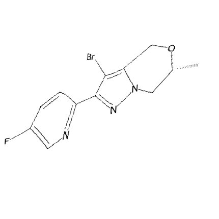 C[C@@H]1Cn2nc(-c3ccc(F)cn3)c(Br)c2CO1